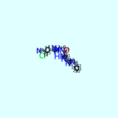 CC(Cn1ccc(-c2ccc(C#N)c(Cl)c2)n1)NC(=O)c1cc(-c2cn(Cc3ccccc3)cn2)n[nH]1